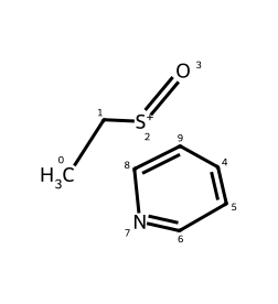 CC[S+]=O.c1ccncc1